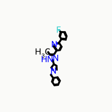 Cc1[nH]c(C2CCN(Cc3ccccc3)C2)nc1-c1ccc(-c2cccc(F)c2)nc1